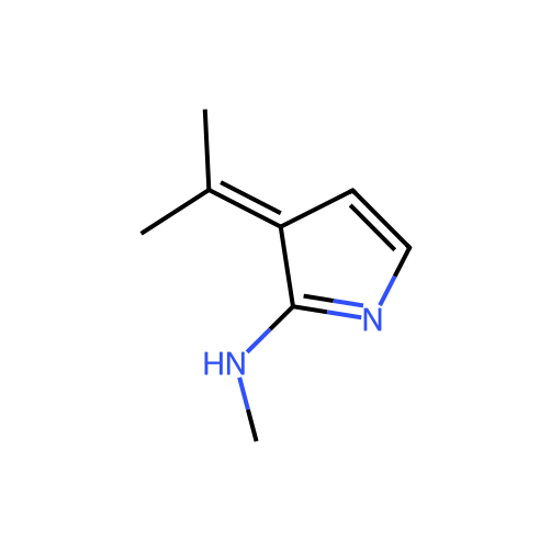 CNC1=NC=CC1=C(C)C